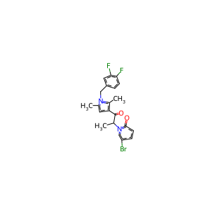 Cc1cc(C(=O)C(C)n2cc(Br)ccc2=O)c(C)n1Cc1ccc(F)c(F)c1